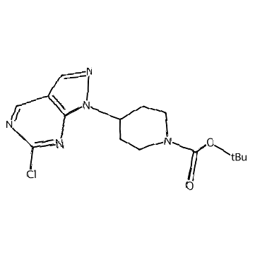 CC(C)(C)OC(=O)N1CCC(n2ncc3cnc(Cl)nc32)CC1